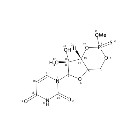 COP1(=S)OCC2OC(n3ccc(=O)[nH]c3=O)[C@](C)(O)[C@@H]2O1